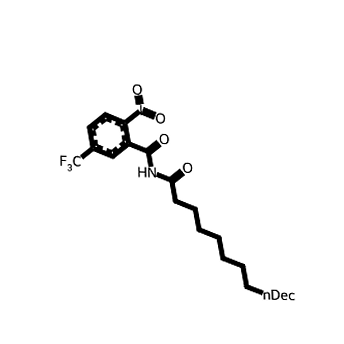 CCCCCCCCCCCCCCCCCC(=O)NC(=O)c1cc(C(F)(F)F)ccc1I(=O)=O